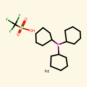 C1CCC(P(C2CCCCC2)C2CCCCC2)CC1.O=S(=O)(O)C(F)(F)F.[Pd]